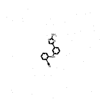 N#Cc1ccccc1Nc1cccc(-c2csc(N)n2)c1